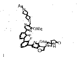 COc1nc(-c2cccc(-c3cccc(-c4cc5c(c(OC)n4)C(N4CC6(CCC(=O)N6)C4)CO5)c3F)c2F)cnc1CN1CC2(C1)CN(C(C)=O)C2